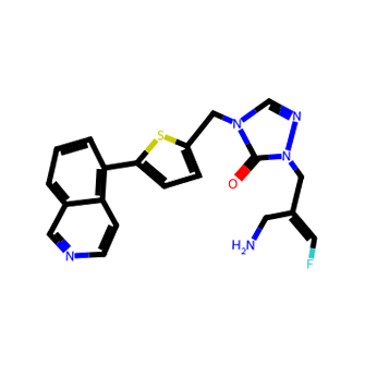 NC/C(=C\F)Cn1ncn(Cc2ccc(-c3cccc4cnccc34)s2)c1=O